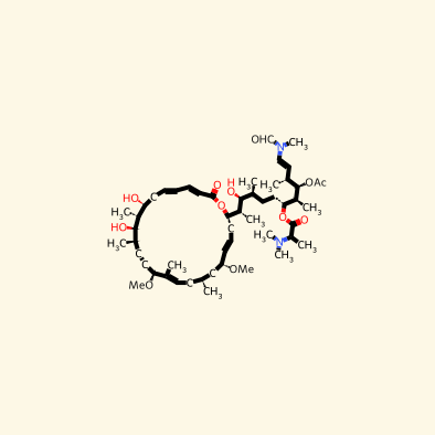 CO[C@H]1CC[C@@H](C)[C@@H](O)[C@H](C)[C@H](O)C/C=C/C=C/C(=O)O[C@H]([C@@H](C)[C@@H](O)[C@@H](C)CC[C@@H](OC(=O)C(C)N(C)C)[C@H](C)[C@H](OC(C)=O)[C@H](C)/C=C/N(C)C=O)C/C=C/[C@H](OC)C[C@H](C)C/C=C/1C